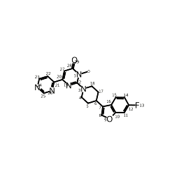 Cn1c(N2CCC(c3coc4cc(F)ccc34)CC2)nc(-c2ccncn2)cc1=O